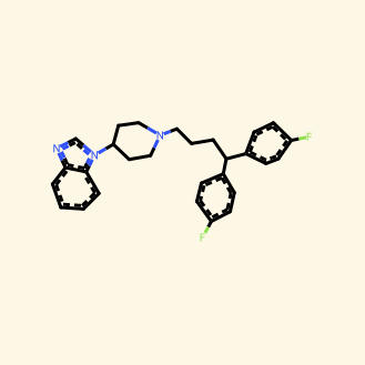 Fc1ccc(C(CCCN2CCC(n3cnc4ccccc43)CC2)c2ccc(F)cc2)cc1